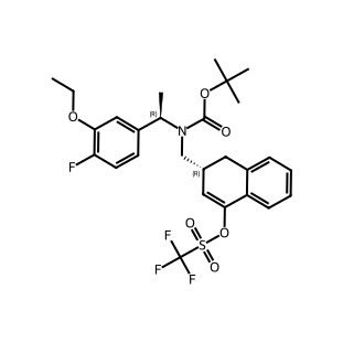 CCOc1cc([C@@H](C)N(C[C@H]2C=C(OS(=O)(=O)C(F)(F)F)c3ccccc3C2)C(=O)OC(C)(C)C)ccc1F